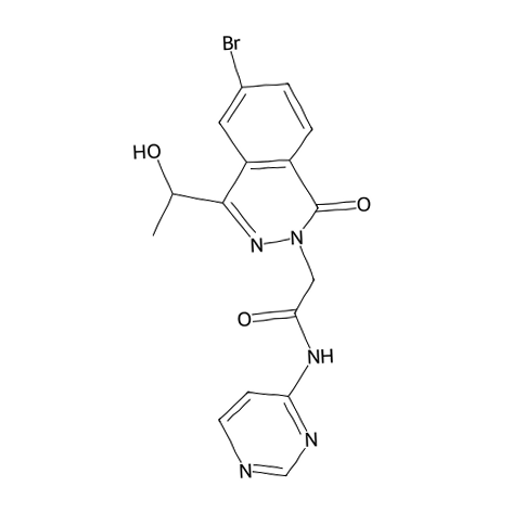 CC(O)c1nn(CC(=O)Nc2ccncn2)c(=O)c2ccc(Br)cc12